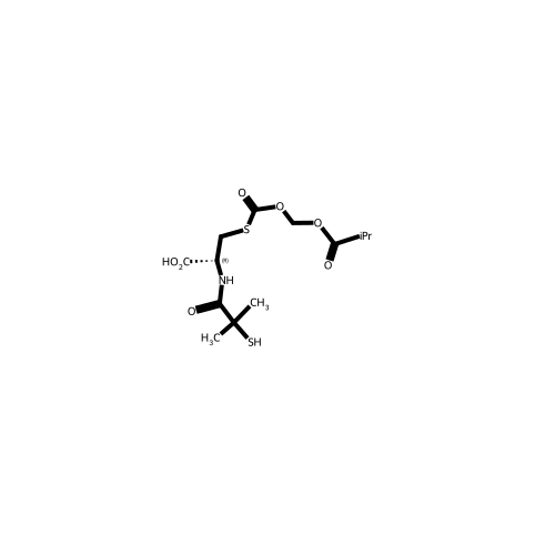 CC(C)C(=O)OCOC(=O)SC[C@H](NC(=O)C(C)(C)S)C(=O)O